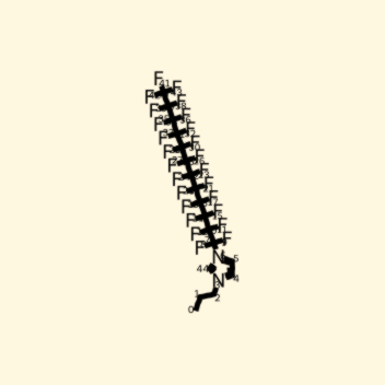 CCC[n+]1ccn(C(F)(F)C(F)(F)C(F)(F)C(F)(F)C(F)(F)C(F)(F)C(F)(F)C(F)(F)C(F)(F)C(F)(F)C(F)(F)C(F)(F)F)c1